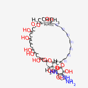 C[C@@H]1[C@H](O)[C@@H](C)/C=C/C=C/C=C/C=C/C=C/C=C/C=C/[C@H](O[C@@H]2O[C@H](C)[C@@H](O)[C@H](N)[C@@H]2O)C[C@@H]2O[C@](O)(C[C@@H](O)C[C@@H](O)[C@H](O)CC[C@@H](O)C[C@@H](O)CC(=O)O[C@H]1C)C[C@H](O)[C@H]2C(=O)NC1CCC(N)CC1